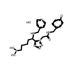 Cl.O=C(Cn1nnnc1C(CCCCB(O)O)NCc1ccncc1)NCc1ccc(Cl)cc1